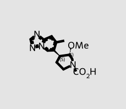 CO[C@@H]1CN(C(=O)O)CC[C@H]1c1cn2ncnc2cc1C